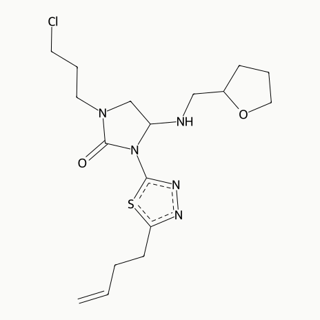 C=CCCc1nnc(N2C(=O)N(CCCCl)CC2NCC2CCCO2)s1